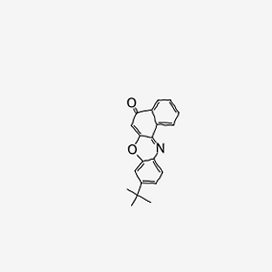 CC(C)(C)c1ccc2nc3c4ccccc4c(=O)cc-3oc2c1